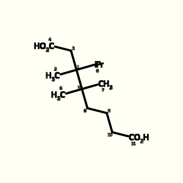 CC(C)C(C)(CC(=O)O)C(C)(C)CCCC(=O)O